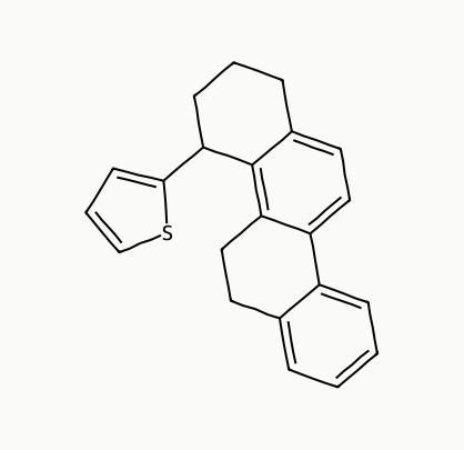 c1csc(C2CCCc3ccc4c(c32)CCc2ccccc2-4)c1